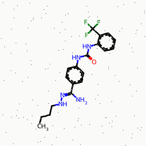 CCCCN/N=C(\N)c1ccc(NC(=O)Nc2ccccc2C(F)(F)F)cc1